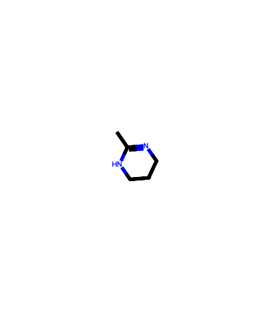 CC1=NC[CH]CN1